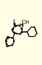 On1c(C2CCCCC2)cc(-c2ccccc2)cc1=S